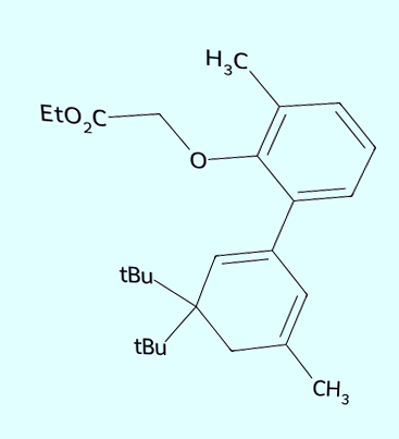 CCOC(=O)COc1c(C)cccc1C1=CC(C(C)(C)C)(C(C)(C)C)CC(C)=C1